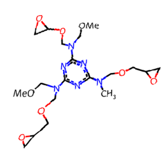 COCN(COCC1CO1)c1nc(N(C)COCC2CO2)nc(N(COC)COC2CO2)n1